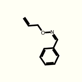 C=CCO/N=C\c1ccccc1